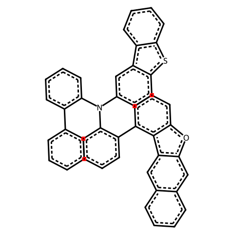 c1ccc(-c2ccccc2N(c2ccc3sc4ccccc4c3c2)c2ccccc2-c2cccc3oc4cc5ccccc5cc4c23)cc1